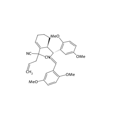 C=CCC(C#N)(C#N)C1=CCCC[C@H]1[C@@H](/C=C/c1cc(OC)ccc1OC)c1cc(OC)ccc1OC